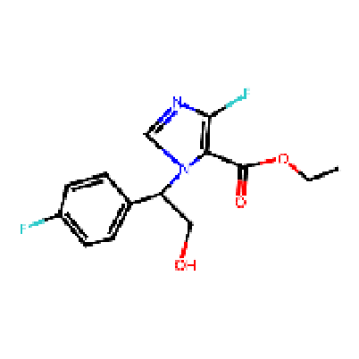 CCOC(=O)c1c(F)ncn1C(CO)c1ccc(F)cc1